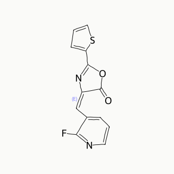 O=C1OC(c2cccs2)=N/C1=C/c1cccnc1F